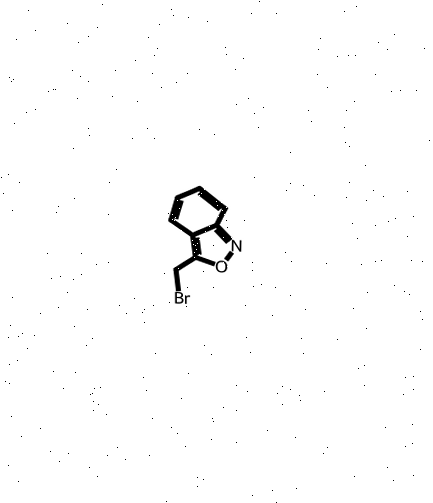 BrCc1onc2ccccc12